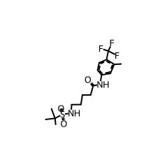 Cc1cc(NC(=O)CCCCNS(=O)(=O)C(C)(C)C)ccc1C(F)(F)F